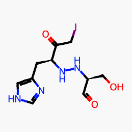 O=C[C@H](CO)NN[C@@H](Cc1c[nH]cn1)C(=O)CI